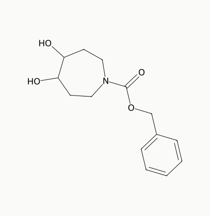 O=C(OCc1ccccc1)N1CCC(O)C(O)CC1